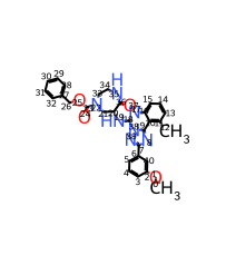 COc1cccc(-c2nc3c4c(C)cccc4nc(N[C@@H]4CN(C(=O)OCc5ccccc5)CCNC4=O)n3n2)c1